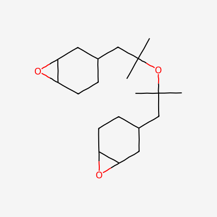 CC(C)(CC1CCC2OC2C1)OC(C)(C)CC1CCC2OC2C1